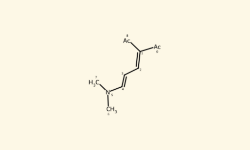 CC(=O)C(=CC=CN(C)C)C(C)=O